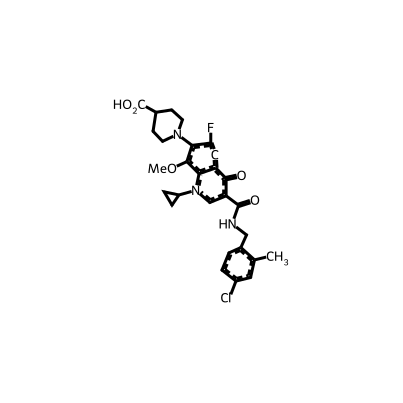 COc1c(N2CCC(C(=O)O)CC2)c(F)cc2c(=O)c(C(=O)NCc3ccc(Cl)cc3C)cn(C3CC3)c12